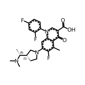 Cc1c(F)c(N2CC[C@H]([C@@H](C)N(C)C)C2)cc2c1c(=O)c(C(=O)O)cn2-c1ccc(F)cc1F